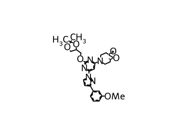 COc1cccc(-c2ccn(-c3cc(N4CCS(=O)(=O)CC4)nc(OCC4COC(C)(C)O4)n3)n2)c1